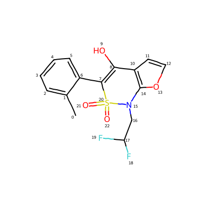 Cc1ccccc1C1=C(O)c2ccoc2N(CC(F)F)S1(=O)=O